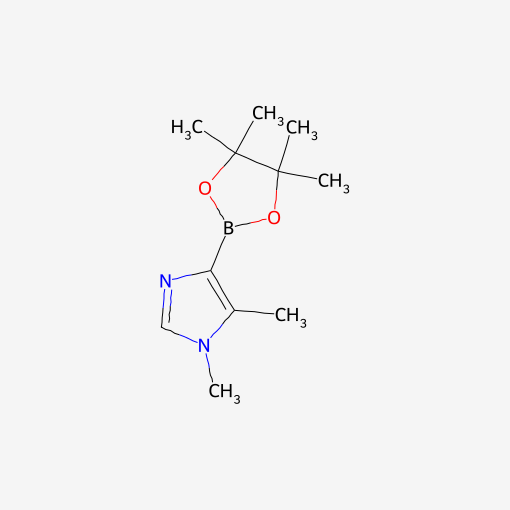 Cc1c(B2OC(C)(C)C(C)(C)O2)ncn1C